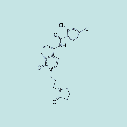 O=C(Nc1cccc2c(=O)n(CCCN3CCCC3=O)ccc12)c1ccc(Cl)cc1Cl